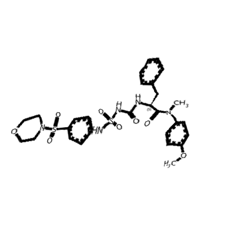 COc1ccc(N(C)C(=O)[C@H](Cc2ccccc2)NC(=O)NS(=O)(=O)Nc2ccc(S(=O)(=O)N3CCOCC3)cc2)cc1